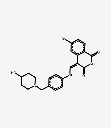 O=C1NC(=O)c2ccc(Br)cc2/C1=C/Nc1ccc(CN2CCC(O)CC2)cc1